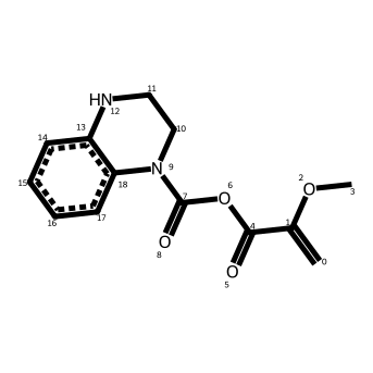 C=C(OC)C(=O)OC(=O)N1CCNc2ccccc21